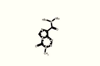 CCCCN(CCCC)C(=O)c1ncn2c(=O)n(C)nnc12